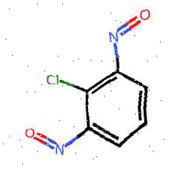 O=Nc1cccc(N=O)c1Cl